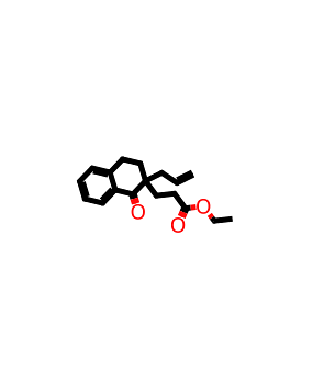 C=CCC1(CCC(=O)OCC)CCc2ccccc2C1=O